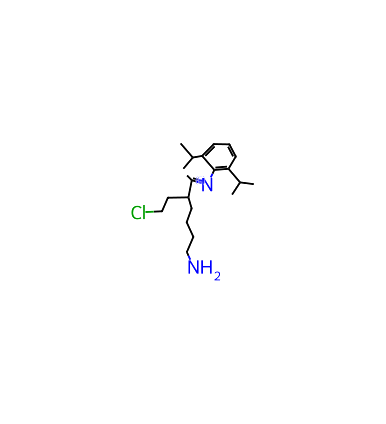 C/C(=N\c1c(C(C)C)cccc1C(C)C)C(CCCl)CCCCN